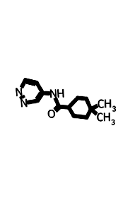 CC1(C)CCC(C(=O)Nc2ccnnc2)CC1